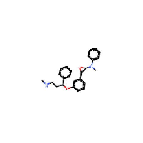 CNCCC(Oc1cccc(C2OC2N(C)c2ccccc2)c1)c1ccccc1